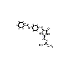 CC(C)=N/N=C1\NC(=O)C(Cc2ccc(OCc3ccccc3)cc2)N1